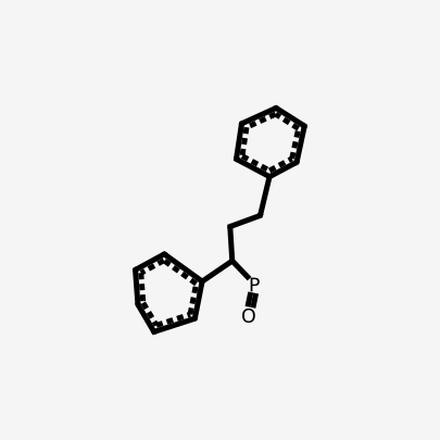 O=PC(CCc1ccccc1)c1ccccc1